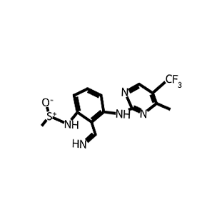 Cc1nc(Nc2cccc(N[S+](C)[O-])c2C=N)ncc1C(F)(F)F